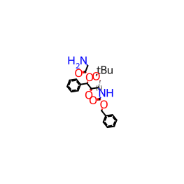 CC(C)(C)OC[C@H](NC(=O)OCc1ccccc1)C(=O)C(OC(=O)CN)c1ccccc1